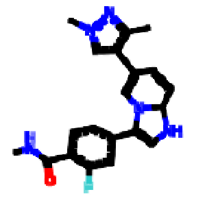 CNC(=O)c1ccc(C2=CNC3C=CC(c4cn(C)nc4C)=CN23)cc1F